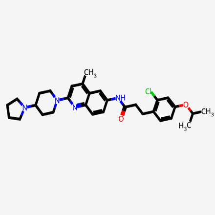 Cc1cc(N2CCC(N3CCCC3)CC2)nc2ccc(NC(=O)CCc3ccc(OC(C)C)cc3Cl)cc12